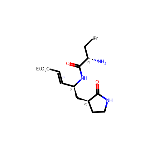 CCOC(=O)/C=C/[C@H](C[C@@H]1CCNC1=O)NC(=O)[C@@H](N)CC(C)C